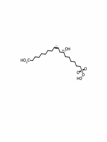 O=C(O)CCCCCCC/C=C\C[C@H](O)CCCCCCS(=O)(=O)OO